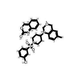 Cc1ccc2c(c1)COCN2C1CCN(S(=O)(=O)c2cccc(Cl)c2)CC1.O=c1nc2ccccc2co1